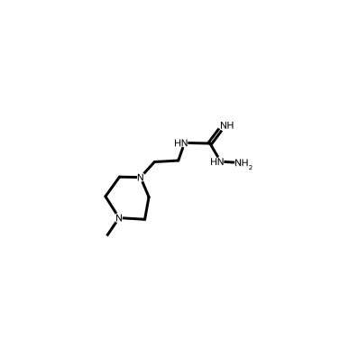 CN1CCN(CCNC(=N)NN)CC1